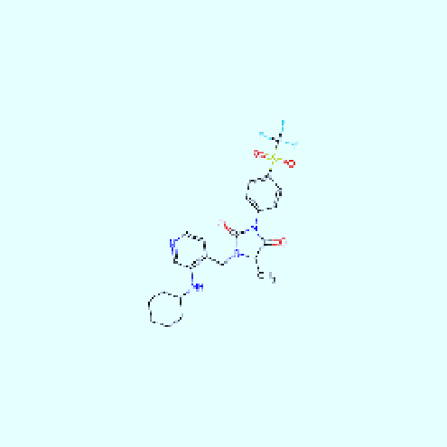 CC1C(=O)N(c2ccc(S(=O)(=O)C(F)(F)F)cc2)C(=O)N1Cc1ccncc1NC1CCCCC1